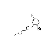 CCOCCOCc1cc(F)ccc1Br